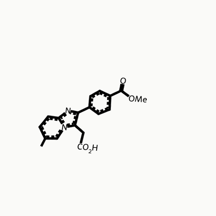 COC(=O)c1ccc(-c2nc3ccc(C)cn3c2CC(=O)O)cc1